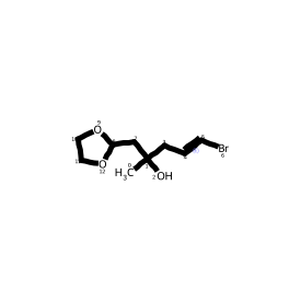 CC(O)(C/C=C/Br)CC1OCCO1